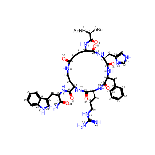 CCCC[C@H](NC(C)=O)C(=O)NC1CCC(=O)NCCC(C(=O)NC(Cc2c[nH]c3ccccc23)C(N)=O)NC(=O)[C@H](CCCNC(=N)N)NC(=O)C(Cc2ccccc2)NC(=O)[C@H](Cc2c[nH]cn2)NC1=O